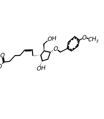 COc1ccc(CO[C@@H]2C[C@H](O)[C@H](C/C=C\CCCC(=O)O)[C@H]2CO)cc1